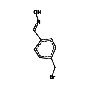 ON=Cc1ccc(CBr)cc1